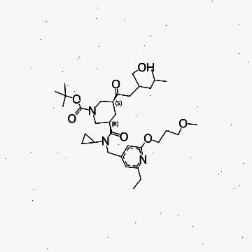 CCc1cc(CN(C(=O)[C@@H]2C[C@H](C(=O)CC(CO)CC(C)C)CN(C(=O)OC(C)(C)C)C2)C2CC2)cc(OCCCOC)n1